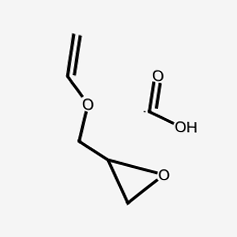 C=COCC1CO1.O=[C]O